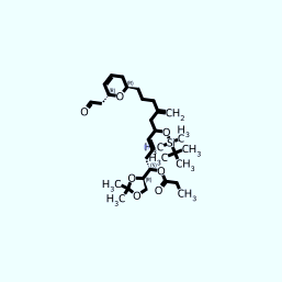 C=C(CCC[C@@H]1CC=C[C@@H](CC=O)O1)CC(/C=C/C[C@H](OC(=O)CC)[C@H]1COC(C)(C)O1)O[Si](C)(C)C(C)(C)C